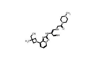 CN1CCN(C(=O)CN/C=C(\C=N)Nc2nc3c(N4CC(C)(CC#N)C4)cccn3n2)CC1